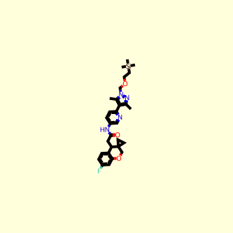 Cc1nn(COCC[Si](C)(C)C)c(C)c1-c1ccc(NC(=O)CC2c3ccc(F)cc3OCC23CC3)cn1